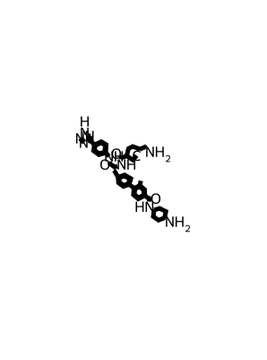 Cc1cc(C(=O)NC2CCC(N)CC2)ccc1-c1ccc(C[C@H](NC(=O)C2CCC(CN)CC2)C(=O)Nc2ccc(-c3nn[nH]n3)cc2)cc1